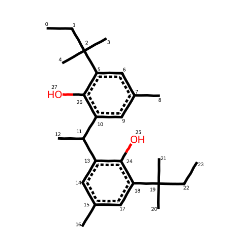 CCC(C)(C)c1cc(C)cc(C(C)c2cc(C)cc(C(C)(C)CC)c2O)c1O